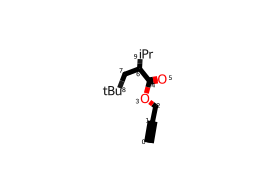 C#CCOC(=O)C(CC(C)(C)C)C(C)C